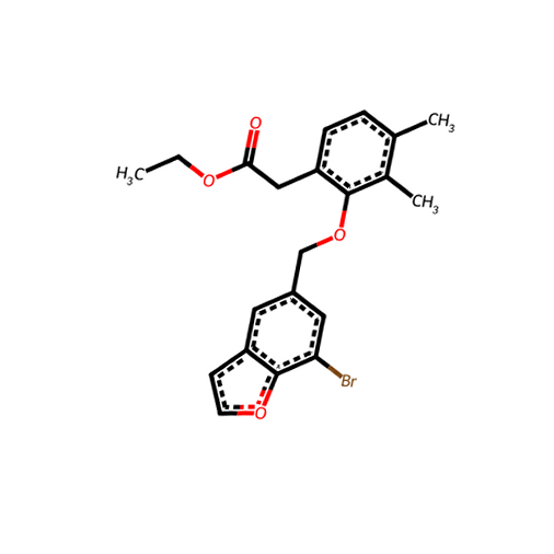 CCOC(=O)Cc1ccc(C)c(C)c1OCc1cc(Br)c2occc2c1